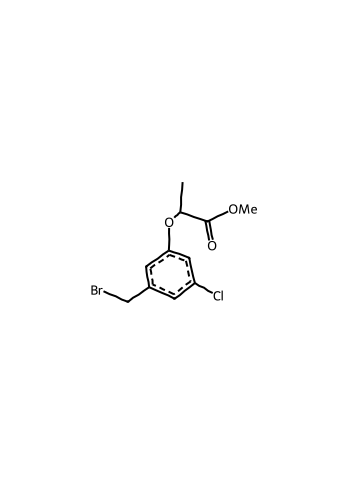 COC(=O)C(C)Oc1cc(Cl)cc(CBr)c1